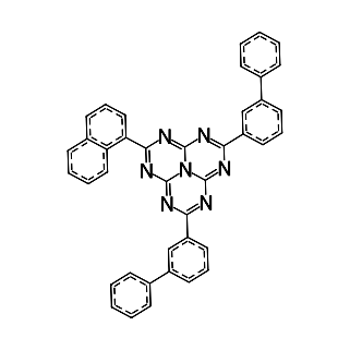 c1ccc(-c2cccc(C3=NC4=NC(c5cccc(-c6ccccc6)c5)=NC5=NC(c6cccc7ccccc67)=NC(=N3)N45)c2)cc1